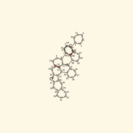 c1ccc(-c2ccc(-c3ccccc3N(c3ccccc3-c3cccc4oc5cc6ccccc6cc5c34)c3cccc4ccccc34)cc2)cc1